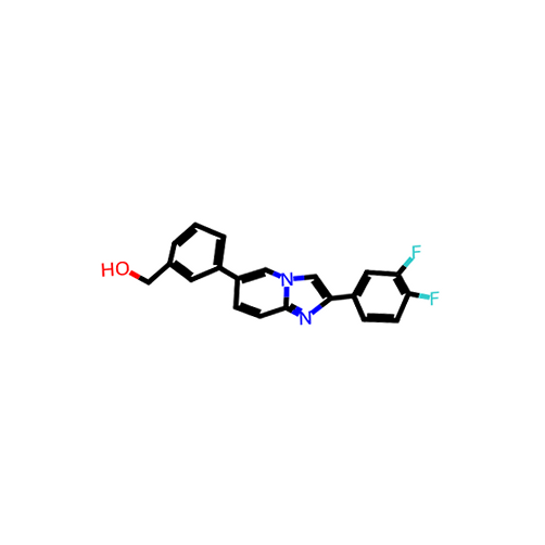 OCc1cccc(-c2ccc3nc(-c4ccc(F)c(F)c4)cn3c2)c1